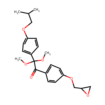 COC(OC)(C(=O)c1ccc(OCC2CO2)cc1)c1ccc(OCC(C)C)cc1